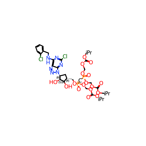 CC(C)OC(=O)OCOP(=O)(CP(=O)(OCOC(=O)OC(C)C)OC[C@H]1C[C@@H](n2nnc3c(NCc4ccccc4Cl)nc(Cl)nc32)[C@H](O)[C@@H]1O)OCOC(=O)OC(C)C